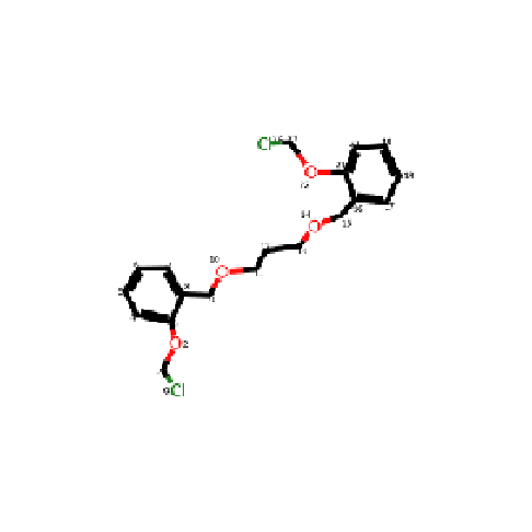 ClCOc1ccccc1COCCCOCc1ccccc1OCCl